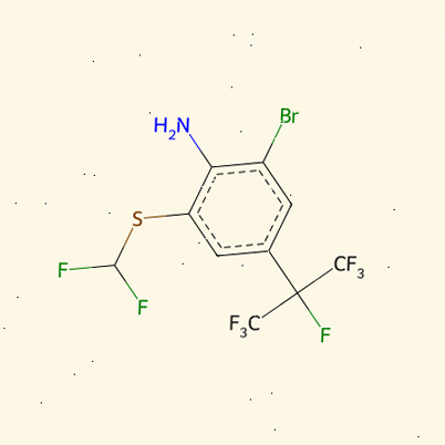 Nc1c(Br)cc(C(F)(C(F)(F)F)C(F)(F)F)cc1SC(F)F